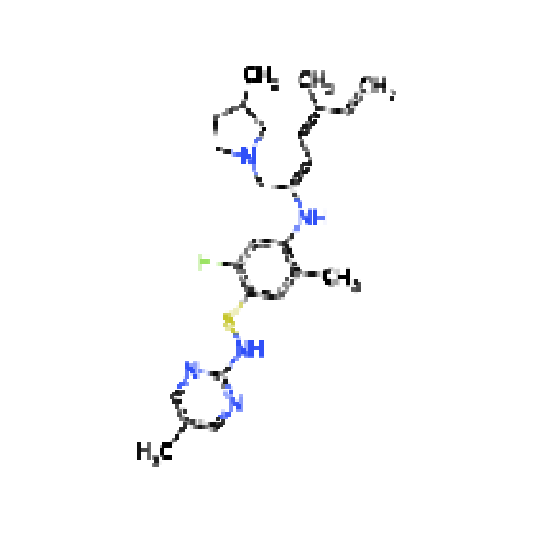 C=C/C(C)=C\C=C(/CN1CCC(C)C1)Nc1cc(F)c(SNc2ncc(C)cn2)cc1C